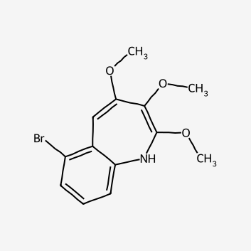 COC1=Cc2c(Br)cccc2NC(OC)=C1OC